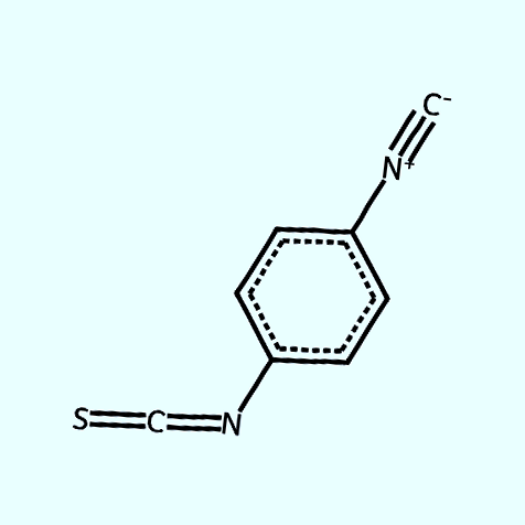 [C-]#[N+]c1ccc(N=C=S)cc1